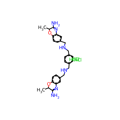 CC1Oc2ccc(CNCc3ccc(CNCc4ccc5c(c4)N=C(N)C(C)O5)cc3)cc2N=C1N.Cl.Cl.Cl